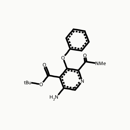 CNC(=O)c1ncc(N)c(C(=O)OC(C)(C)C)c1Oc1ccccc1